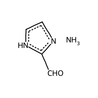 N.O=Cc1ncc[nH]1